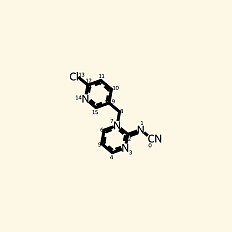 N#CN=c1ncccn1Cc1ccc(Cl)nc1